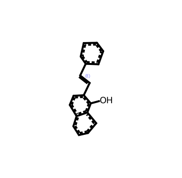 Oc1c(/C=C/c2ccccc2)ccc2ccccc12